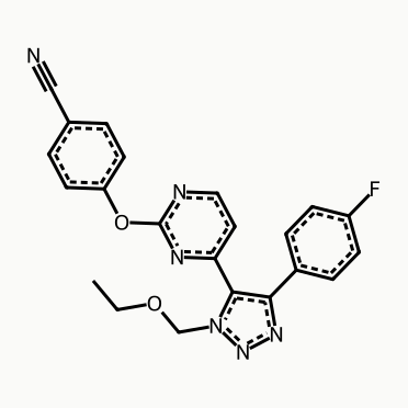 CCOCn1nnc(-c2ccc(F)cc2)c1-c1ccnc(Oc2ccc(C#N)cc2)n1